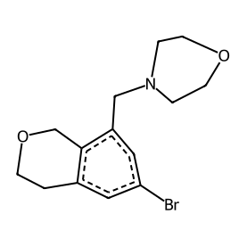 Brc1cc2c(c(CN3CCOCC3)c1)COCC2